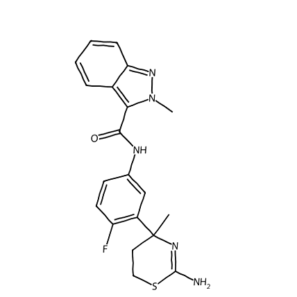 Cn1nc2ccccc2c1C(=O)Nc1ccc(F)c(C2(C)CCSC(N)=N2)c1